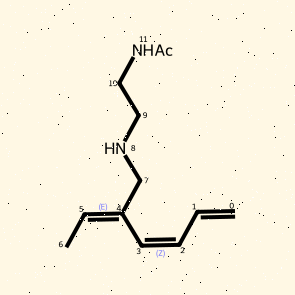 C=C/C=C\C(=C/C)CNCCNC(C)=O